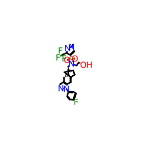 Cn1cc(S(=O)(=O)N(CCO)C[C@@]23CCC4=Cc5c(cnn5-c5ccc(F)cc5)C[C@@]42C3)c(C(F)(F)F)n1